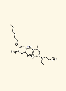 CCCCCCOC1=C/C(=N/c2ccc(N(CC)CCO)cc2C)C(N)=CC1=N